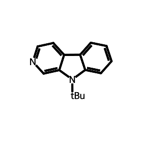 CC(C)(C)n1c2ccccc2c2ccncc21